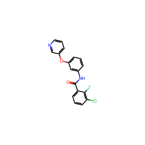 O=C(Nc1cccc(Oc2cccnc2)c1)c1cccc(Cl)c1F